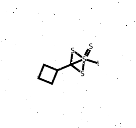 S=S12(I)SC1(C1CCC1)S2